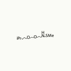 CSCNCCCOCCCOCCCC(C)C